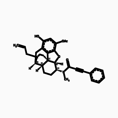 C=CCN1CC[C@]23c4c5c(O)cc(OC(C)=O)c4O[C@H]2[C@H](N(C)C(=O)C#Cc2ccccc2)CC[C@H]3[C@H]1C5